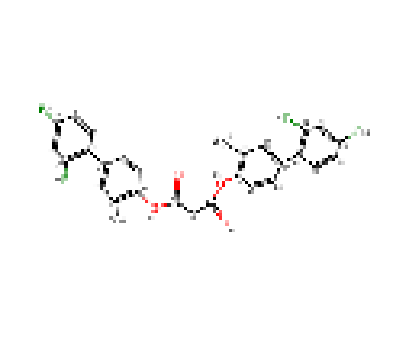 CC(=O)c1cc(-c2ccc(F)cc2F)ccc1OC(=O)CC(=O)Oc1ccc(-c2ccc(F)cc2F)cc1C(C)=O